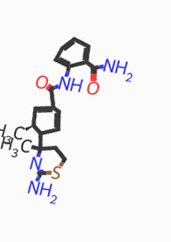 C[C@H]1C=C(C(=O)Nc2ccccc2C(N)=O)C=CC1C1(C)CCSC(N)=N1